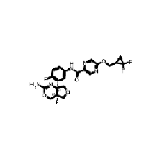 NC1=N[C@@]2(c3cc(NC(=O)c4cnc(OCC5CC5(F)F)cn4)ccc3F)COC[C@@]2(F)CO1